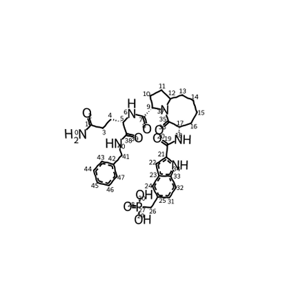 NC(=O)CC[C@H](NC(=O)[C@@H]1CCC2CCCC[C@H](NC(=O)c3cc4cc(CP(=O)(O)O)ccc4[nH]3)C(=O)N21)C(=O)NCc1ccccc1